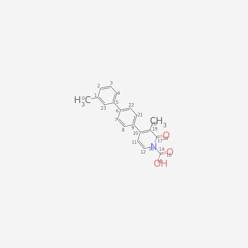 Cc1cccc(-c2ccc(-c3ccn(C(=O)O)c(=O)c3C)cc2)c1